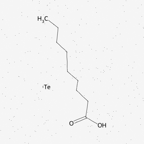 CCCCCCCCC(=O)O.[Te]